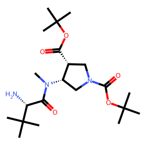 CN(C(=O)[C@@H](N)C(C)(C)C)[C@H]1CN(C(=O)OC(C)(C)C)C[C@H]1C(=O)OC(C)(C)C